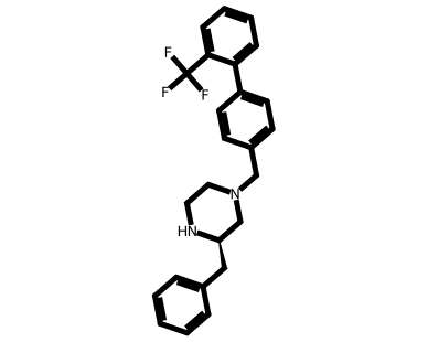 FC(F)(F)c1ccccc1-c1ccc(CN2CCN[C@H](Cc3ccccc3)C2)cc1